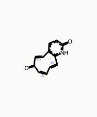 O=C1/C=C\C=C\c2[nH]c(=O)ccc2/C=C/1